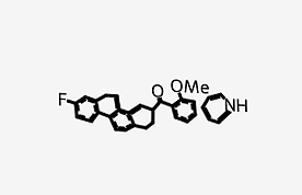 C1=CC=CNC=C1.COc1ccccc1C(=O)C1C=c2c(ccc3c2=CCc2cc(F)ccc2-3)CC1